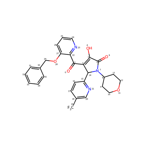 O=C(C1=C(O)C(=O)N(C2CCOCC2)C1c1ccc(C(F)(F)F)cn1)c1ncccc1OCc1ccccc1